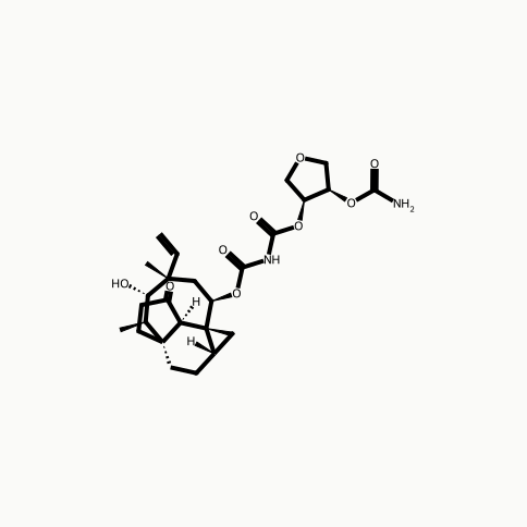 C=C[C@]1(C)C[C@@H](OC(=O)NC(=O)O[C@H]2COC[C@H]2OC(N)=O)[C@]23C[C@@H]2CC[C@]2(CCC(=O)[C@H]23)[C@@H](C)[C@@H]1O